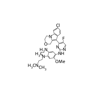 COc1cc(N(C)CCN(C)C)c(N)cc1Nc1ncc(F)c(-c2c3n(c4cc(Cl)ccc24)CCOC3)n1